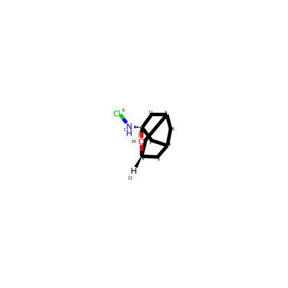 ClN[C@]12CC3CC(C[C@H](C3)O1)C2